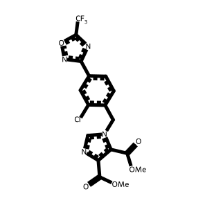 COC(=O)c1ncn(Cc2ccc(-c3noc(C(F)(F)F)n3)cc2Cl)c1C(=O)OC